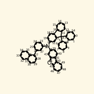 c1ccc(C2(c3ccccc3)c3ccccc3-c3ccc(N(c4cccc(-c5cccc6ccccc56)c4)c4ccc5c(c4)oc4ccccc45)cc32)cc1